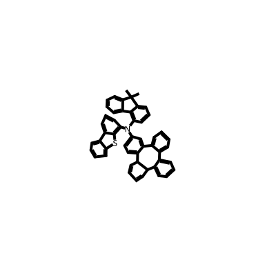 CC1(C)c2ccccc2-c2c(N(c3ccc4c(c3)-c3ccccc3-c3ccccc3C3C=CC=CC43)c3cccc4c3sc3ccccc34)cccc21